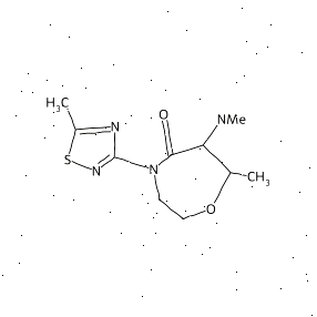 CNC1C(=O)N(c2nsc(C)n2)CCOC1C